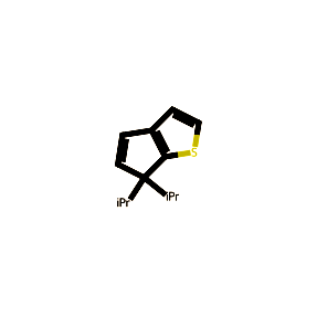 CC(C)C1(C(C)C)C=Cc2ccsc21